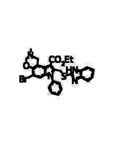 CCOC(=O)c1c(CSc2nc3ccccc3[nH]2)n(-c2ccccc2)c2cc(Br)c3c(c12)CN(C)CO3